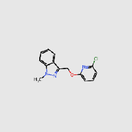 Cn1nc(COc2cccc(Cl)n2)c2ccccc21